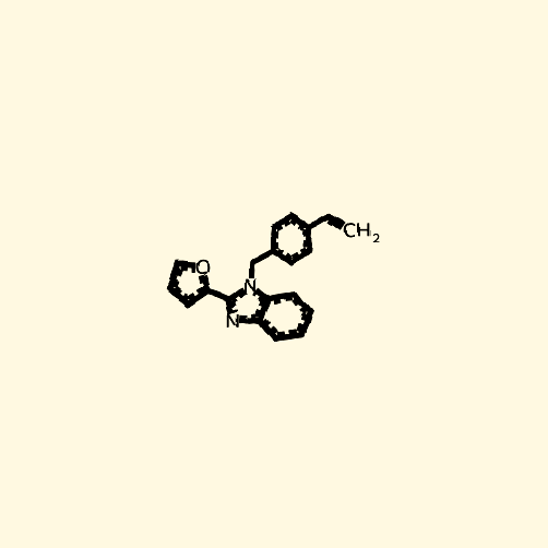 C=Cc1ccc(Cn2c(-c3ccco3)nc3ccccc32)cc1